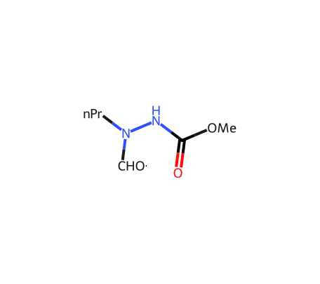 CCCN([C]=O)NC(=O)OC